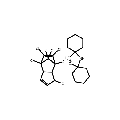 CC1(NC2(C)CCCCC2)CCCCC1.ClC1=C(Cl)C2(Cl)C3C(Cl)C=CC3C1(Cl)C2(Cl)Cl